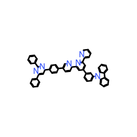 c1ccc(-c2cc(-c3ccc(-c4ccc(-c5cc(-c6cccc(-n7c8ccccc8c8ccccc87)c6)cc(-c6ccccn6)n5)nc4)cc3)nc(-c3ccccc3)n2)cc1